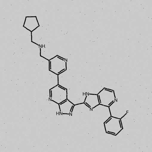 Fc1ccccc1-c1nccc2[nH]c(-c3n[nH]c4ncc(-c5cncc(CNCC6CCCC6)c5)cc34)nc12